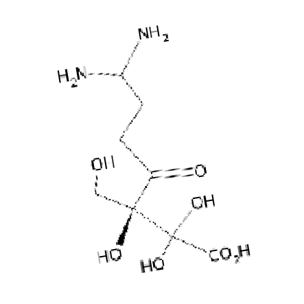 NC(N)CCC(=O)[C@@](O)(CO)C(O)(O)C(=O)O